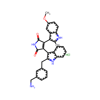 COc1ccc2[nH]c(C)c(C3=C(c4c(Cc5cccc(CN)c5)[nH]c5ccccc45)C(=O)NC3=O)c2c1.Cl